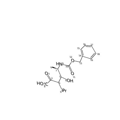 CC(C)C(C(=O)C(=O)O)C(O)[C@@H](C)NC(=O)OCc1ccccc1